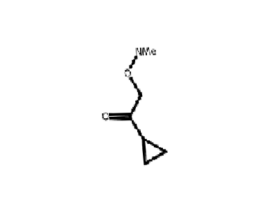 CNOCC(=O)C1CC1